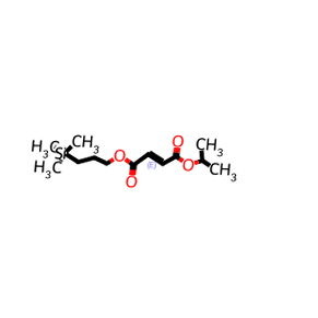 CC(C)OC(=O)/C=C/C(=O)OCCC[Si](C)(C)C